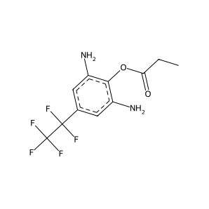 CCC(=O)Oc1c(N)cc(C(F)(F)C(F)(F)F)cc1N